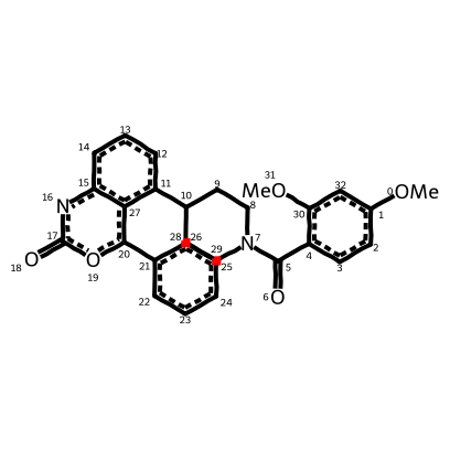 COc1ccc(C(=O)N2CCC(c3cccc4nc(=O)oc(-c5ccccc5)c34)CC2)c(OC)c1